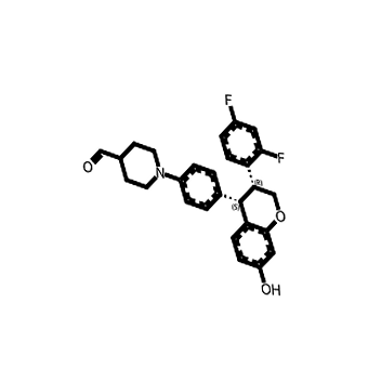 O=CC1CCN(c2ccc([C@H]3c4ccc(O)cc4OC[C@H]3c3ccc(F)cc3F)cc2)CC1